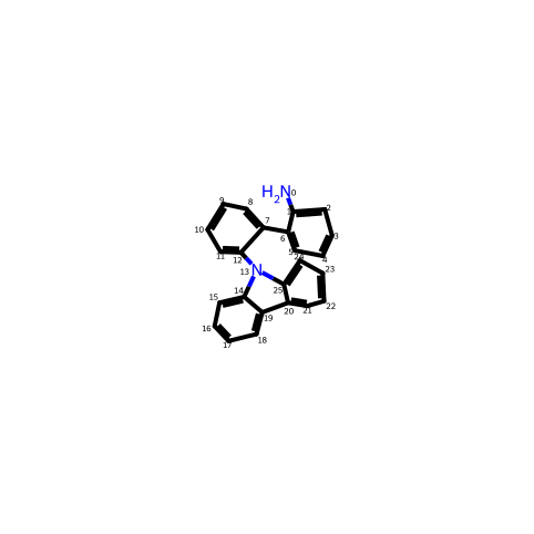 Nc1ccccc1-c1ccccc1-n1c2ccccc2c2ccccc21